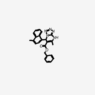 CC1=C(C(=O)OCc2ccccc2)C(c2ccc(C)c3ccccc23)n2nnnc2N1